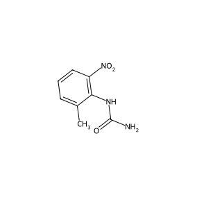 Cc1cccc([N+](=O)[O-])c1NC(N)=O